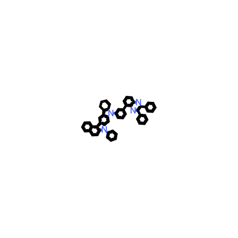 C1=Cc2c(c3cc4c5c6ccccc6ccc5n(-c5ccccc5)c4cc3n2-c2cccc(-c3cccc4nc(-c5ccccc5)c(-c5ccccc5)nc34)c2)CC1